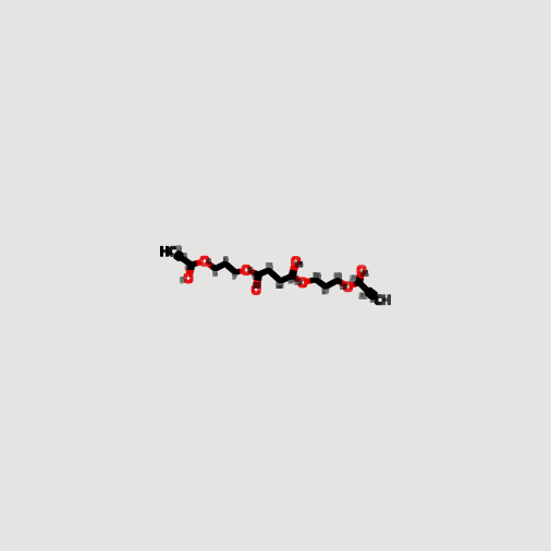 C#CC(=O)OCCCOC(=O)CCC(=O)OCCCOC(=O)C#C